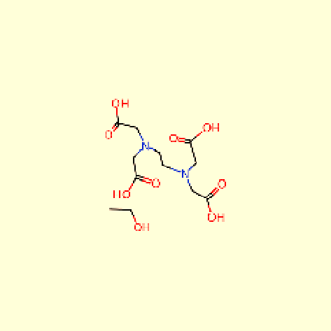 CCO.O=C(O)CN(CCN(CC(=O)O)CC(=O)O)CC(=O)O